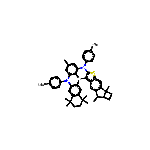 Cc1cc2c3c(c1)N(c1ccc(C(C)(C)C)cc1)c1sc4cc5c(cc4c1B3c1cc3c(cc1N2c1ccc(C(C)(C)C)cc1)C(C)(C)CCC3(C)C)C(C)C1CCC51C